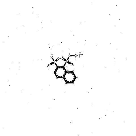 COS(=O)(=O)c1c(S(=O)(=O)[O-])ccc2ccccc12.[Fr+]